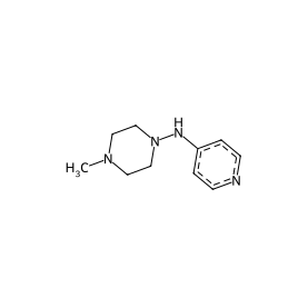 CN1CCN(Nc2ccncc2)CC1